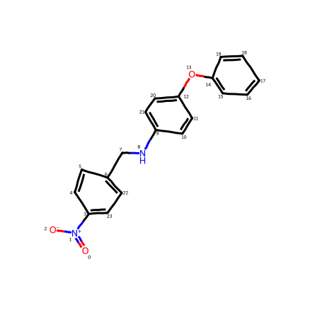 O=[N+]([O-])c1ccc(CNc2ccc(Oc3ccccc3)cc2)cc1